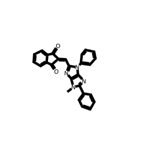 Cn1c(-c2ccccc2)nc2c1nc(C=C1C(=O)c3ccccc3C1=O)n2-c1ccccc1